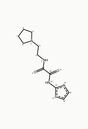 O=C(NCCN1CCCC1)C(=O)Nc1nccs1